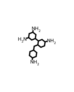 NC1CCC(CC2CCC(N)CC2C2CC(N)CC(N)C2)CC1